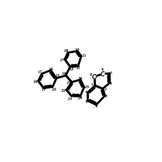 C1=Cc2ccccc2OC1.c1ccc(C(c2ccccc2)c2ccccc2)cc1